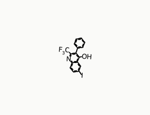 Oc1c(-c2ccccc2)c(C(F)(F)F)nc2ccc(I)cc12